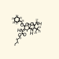 CCCCOC(=O)NC(CC(=O)N[C@H](C(=O)NC)C(C)(C)C)C(=O)OCc1ccccc1